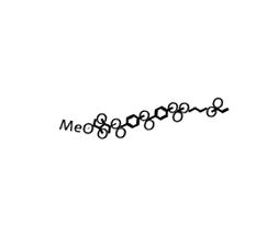 C=CC(=O)OCCCCOC(=O)Oc1ccc(C(=O)Oc2ccc(C(=O)O[C@H]3COC4C3OC[C@H]4OC)cc2)cc1